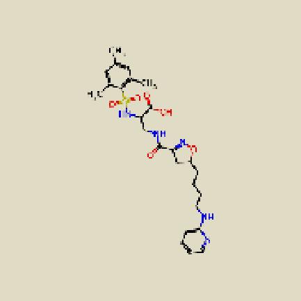 Cc1cc(C)c(S(=O)(=O)NC(CNC(=O)C2=NOC(CCCCNc3ccccn3)C2)C(=O)O)c(C)c1